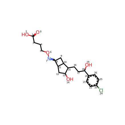 O=C(O)CCCON=C1CC2C1CC(O)C2CCC(O)c1ccc(Cl)cc1